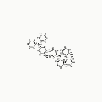 c1ccc(N(c2ccccc2)c2ccc3oc4cc(N(c5ccccc5)c5cccc6oc7ccccc7c56)ccc4c3c2)cc1